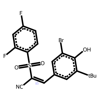 CC(C)(C)c1cc(/C=C(/C#N)S(=O)(=O)c2ccc(F)cc2F)cc(Br)c1O